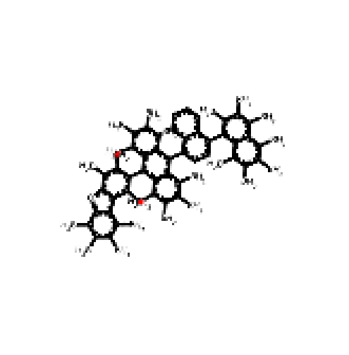 Bc1c(B)c(B)c2c(oc3c(B)c(B)c(-c4c5c(B)c(B)c(B)c(B)c5c(-c5ccc(-c6c(B)c(B)c(B)c7c(B)c(B)c(B)c(B)c67)c6ccccc56)c5c(B)c(B)c(B)c(B)c45)c(B)c32)c1B